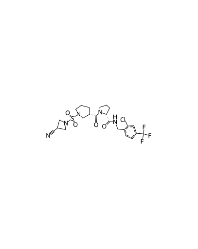 N#CC1CN(S(=O)(=O)N2CCC[C@H](C(=O)N3CCC[C@@H]3C(=O)NCc3ccc(C(F)(F)F)cc3Cl)C2)C1